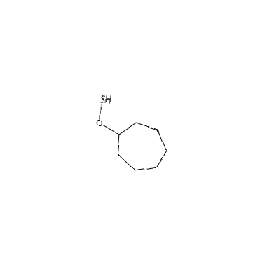 SOC1CCCCCC1